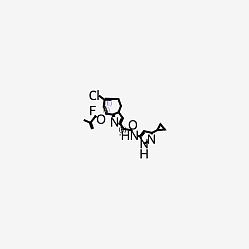 C=C(C)C(F)O/C1=C/C(Cl)=C\CCC2C=C([C@@H](C)C(=O)Nc3cc(C4CC4)n[nH]3)N=C12